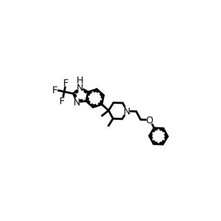 CC1CN(CCOc2ccccc2)CCC1(C)c1ccc2[nH]c(C(F)(F)F)nc2c1